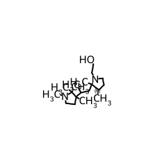 CC(CC1(C)[C@H](C)CCN1CCO)C1(C)CCN(C)C1(C)C